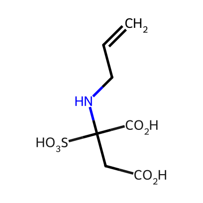 C=CCNC(CC(=O)O)(C(=O)O)S(=O)(=O)O